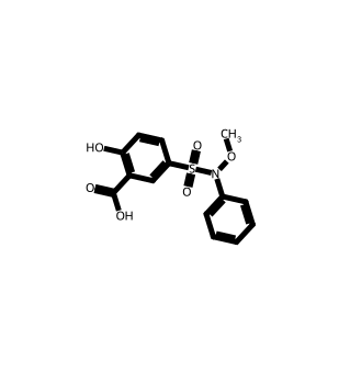 CON(c1ccccc1)S(=O)(=O)c1ccc(O)c(C(=O)O)c1